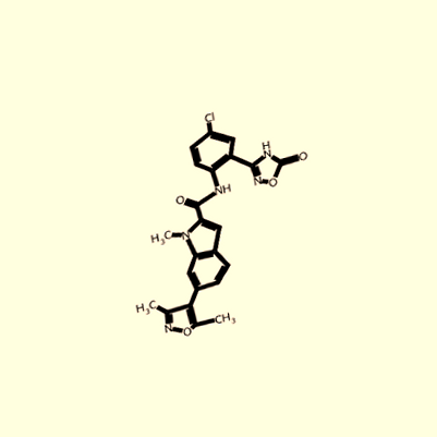 Cc1noc(C)c1-c1ccc2cc(C(=O)Nc3ccc(Cl)cc3-c3noc(=O)[nH]3)n(C)c2c1